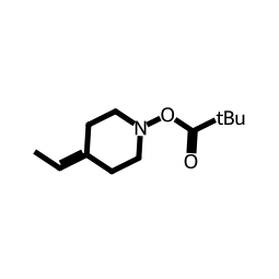 CC=C1CCN(OC(=O)C(C)(C)C)CC1